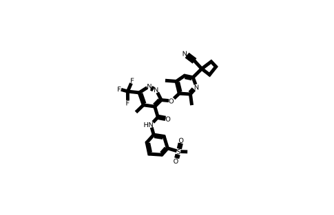 Cc1cc(C2(C#N)CCC2)nc(C)c1Oc1nnc(C(F)(F)F)c(C)c1C(=O)Nc1cccc(S(C)(=O)=O)c1